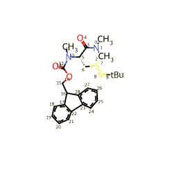 CN(C)C(=O)[C@H](CSSC(C)(C)C)N(C)C(=O)OCC1c2ccccc2-c2ccccc21